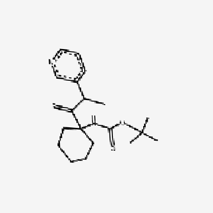 CC(C(=S)C1(NC(=O)OC(C)(C)C)CCCCC1)c1cccnc1